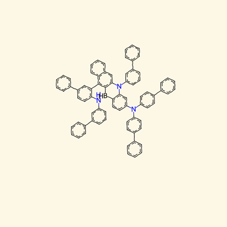 B1c2ccc(N(c3ccc(-c4ccccc4)cc3)c3ccc(-c4ccccc4)cc3)cc2N(c2cccc(-c3ccccc3)c2)c2cc3ccccc3c(-c3cc(-c4ccccc4)ccc3Nc3cccc(-c4ccccc4)c3)c21